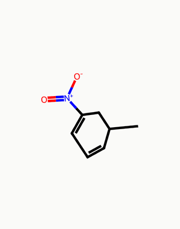 CC1C=CC=C([N+](=O)[O-])C1